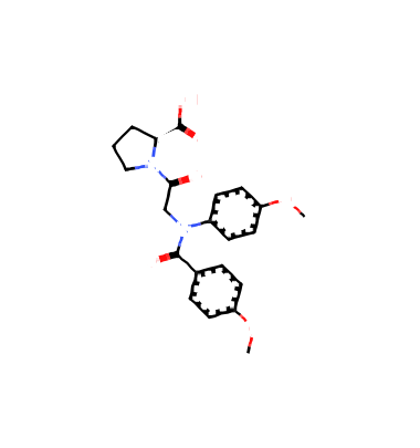 COc1ccc(C(=O)N(CC(=O)N2CCC[C@H]2C(=O)O)c2ccc(OC)cc2)cc1